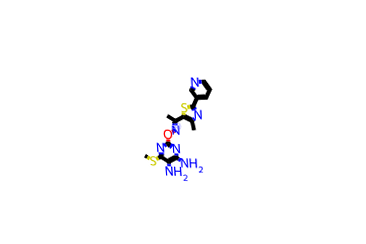 CSc1nc(O/N=C(\C)c2sc(-c3cccnc3)nc2C)nc(N)c1N